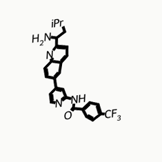 CC(C)CC(N)c1ccc2cc(-c3ccnc(NC(=O)c4ccc(C(F)(F)F)cc4)c3)ccc2n1